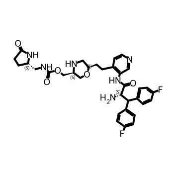 N[C@H](C(=O)Nc1cnccc1CC[C@@H]1CN[C@H](COC(=O)NC[C@@H]2CCC(=O)N2)CO1)C(c1ccc(F)cc1)c1ccc(F)cc1